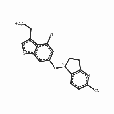 N#Cc1ccc2c(n1)CC[C@@H]2Oc1cc(Cl)c2c(CC(=O)O)csc2c1